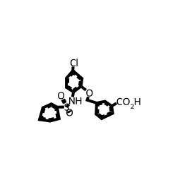 O=C(O)c1cccc(COc2cc(Cl)ccc2NS(=O)(=O)c2ccccc2)c1